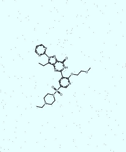 CCc1c2nc(-c3cc(S(=O)(=O)N4CCN(CC)CC4)cnc3OCCOC)[nH]c(=O)c2nn1-c1ncccn1